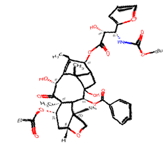 CCC(=O)O[C@H]1C[C@H]2OC[C@@]2(OC(C)=O)C2[C@H](OC(=O)c3ccccc3)C3(O)CC4[C@H](OC(=O)[C@H](O)[C@@H](NC(=O)OC(C)(C)C)c5ccco5)C(C)=C([C@@H](O)C(=O)[C@@]21C)C43C